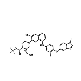 Cc1cc(Nc2ncnc3cc(Br)c(N4CCN(C(=O)OC(C)(C)C)[Si@H](CO)C4)nc23)ccc1Oc1ccc2c(c1)ncn2C